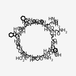 CCCC[C@H]1C(=O)N(C)[C@@H](CCCC)C(=O)N[C@@H](CCCNC(=N)N)C(=O)N[C@H](C(=O)NCC(N)=O)CSCC(=O)N[C@@H](Cc2ccc(O)cc2)C(=O)N(C)[C@@H](C)C(=O)N[C@@H](CN)C(=O)N2CCC[C@H]2C(=O)N[C@@H](CC(=O)O)C(=O)N[C@@H](CC(C)C)C(=O)N2CCC[C@H]2C(=O)N[C@@H](Cc2c[nH]c3ccccc23)C(=O)N[C@@H](CO)C(=O)N[C@@H](Cc2c[nH]c3ccccc23)C(=O)N1C